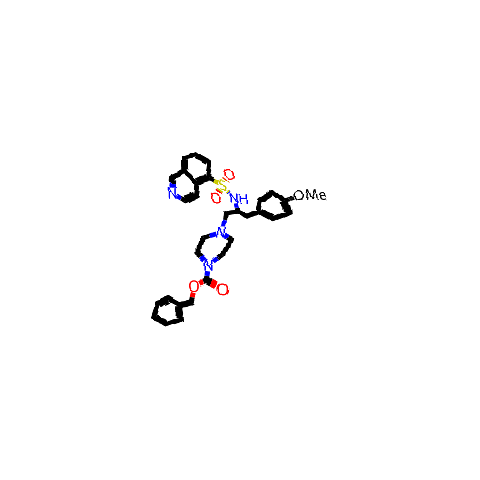 COc1ccc(CC(CN2CCN(C(=O)OCc3ccccc3)CC2)NS(=O)(=O)c2cccc3cnccc23)cc1